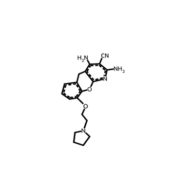 N#Cc1c(N)nc2c(c1N)Cc1cccc(OCCN3CCCC3)c1O2